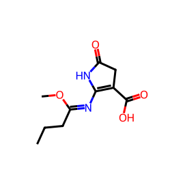 CCCC(=NC1=C(C(=O)O)CC(=O)N1)OC